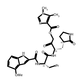 COc1cccc2[nH]c(C(=O)N[C@@H](CC(C)C)C(=O)N[C@@H](C[C@@H]3CCNC3=O)C(=O)COC(=O)c3ncn(C)c3C)cc12